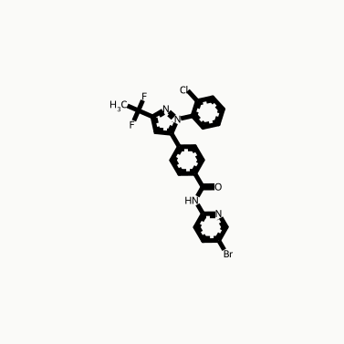 CC(F)(F)c1cc(-c2ccc(C(=O)Nc3ccc(Br)cn3)cc2)n(-c2ccccc2Cl)n1